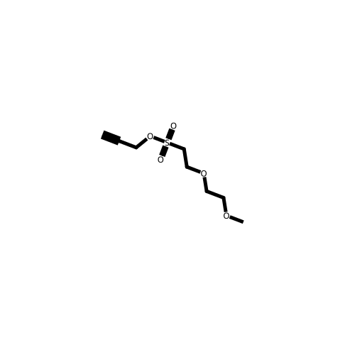 C#CCOS(=O)(=O)CCOCCOC